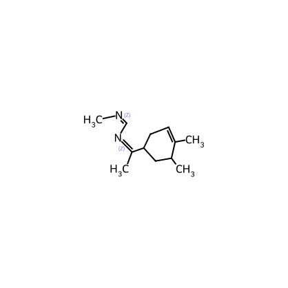 C/N=C\N=C(\C)C1CC=C(C)C(C)C1